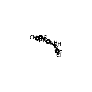 O=C(N[C@H]1CC[C@@H](NCC(O)COc2ccc(Cl)c(F)c2)CC1)c1ccc2cc(Cl)ccc2n1